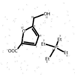 CC[P+](CC)(CC)CC.O=C([O-])c1ccc(CO)o1